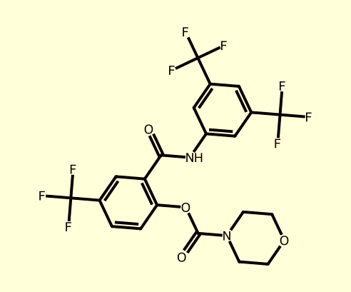 O=C(Nc1cc(C(F)(F)F)cc(C(F)(F)F)c1)c1cc(C(F)(F)F)ccc1OC(=O)N1CCOCC1